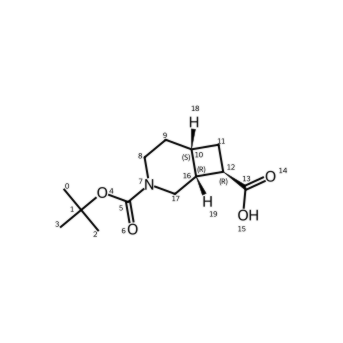 CC(C)(C)OC(=O)N1CC[C@@H]2C[C@@H](C(=O)O)[C@@H]2C1